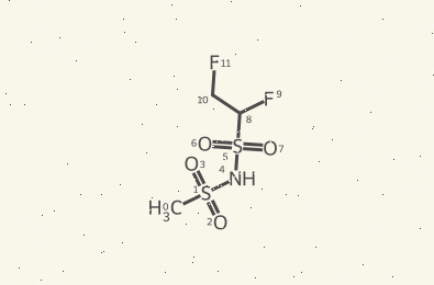 CS(=O)(=O)NS(=O)(=O)C(F)CF